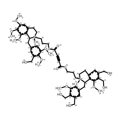 COc1cc(CC2c3c(cc(CO)c(CO)c3OC)CC[N+]2(C)CCCOC(=O)C#CC(=O)OCCC[N+]2(C)CCc3cc(OC)c(OC)c(OC)c3C2Cc2cc(CO)c(OC)c(OC)c2)cc(CO)c1CO